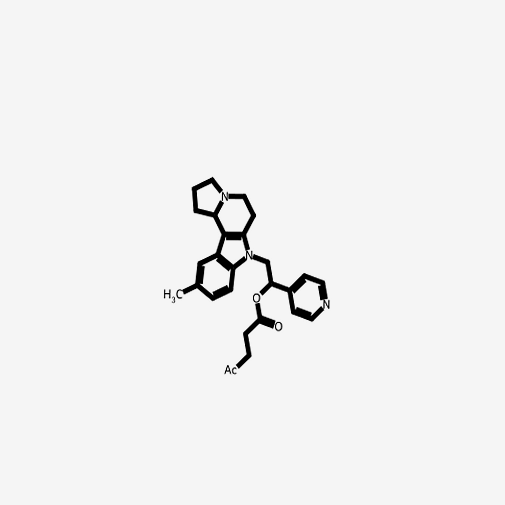 CC(=O)CCC(=O)OC(Cn1c2c(c3cc(C)ccc31)C1CCCN1CC2)c1ccncc1